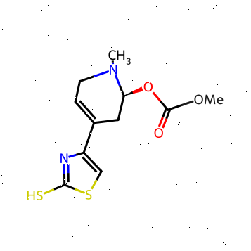 COC(=O)O[C@H]1CC(c2csc(S)n2)=CCN1C